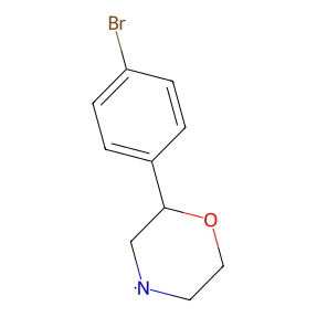 Brc1ccc(C2C[N]CCO2)cc1